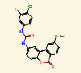 CC(=O)Nc1ccc2c(=O)oc3ccc(NC(=O)Nc4ccc(Cl)c(F)c4)cc3c2c1